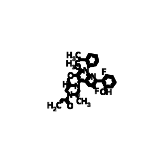 C=CC(=O)N1C[C@@H]2COc3c(c4cc(F)c(-c5c(O)cccc5F)nc4n(-c4ccccc4C(C)C)c3=O)N2C[C@H]1C